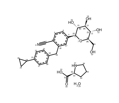 N#Cc1ccc([C@@H]2O[C@H](CO)[C@@H](O)[C@H](O)[C@H]2O)cc1Cc1ccc(C2CC2)cc1.O.O=C(O)[C@@H]1CCCN1